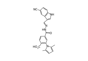 Cc1ccc(C)n1-c1cc(C(=O)N/N=C/c2c[nH]c3ccc(C#N)cc23)ccc1C(=O)O